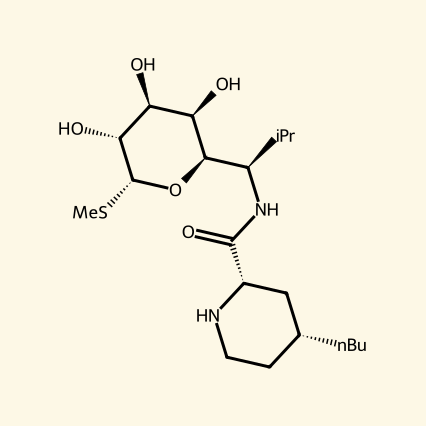 CCCC[C@@H]1CCN[C@H](C(=O)N[C@H](C(C)C)[C@H]2O[C@H](SC)[C@H](O)[C@@H](O)[C@H]2O)C1